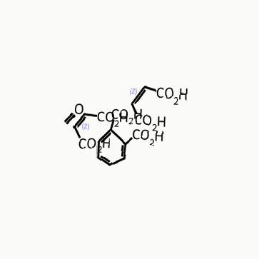 C=O.O=C(O)/C=C\C(=O)O.O=C(O)/C=C\C(=O)O.O=C(O)c1ccccc1C(=O)O